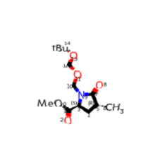 COC(=O)[C@@H]1C[C@@H](C)C(=O)N1COCOC(C)(C)C